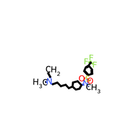 C=CCN(C)CCCCCC1CCC(N(C)S(=O)(=O)c2ccc(C(F)(F)F)cc2)CC1